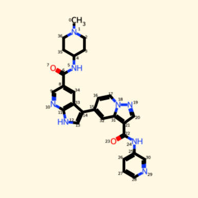 CN1CCC(NC(=O)c2cnc3[nH]cc(-c4ccn5ncc(C(=O)Nc6cccnc6)c5c4)c3c2)CC1